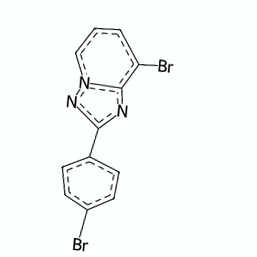 Brc1ccc(-c2nc3c(Br)cccn3n2)cc1